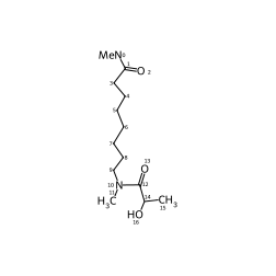 CNC(=O)CCCCCCCN(C)C(=O)C(C)O